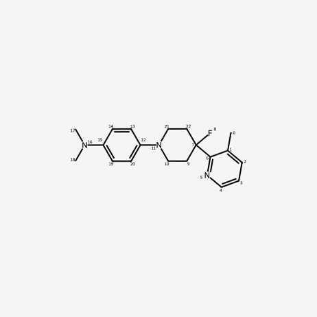 Cc1cccnc1C1(F)CCN(c2ccc(N(C)C)cc2)CC1